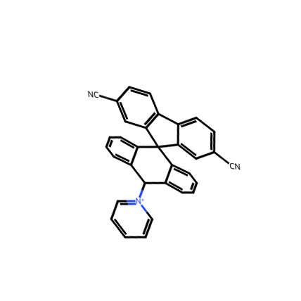 N#Cc1ccc2c(c1)C1(c3cc(C#N)ccc3-2)c2ccccc2C([n+]2ccccc2)c2ccccc21